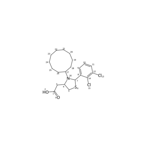 O=C(O)CC1CSC(c2cccc(Cl)c2Cl)N1C1CCCCCCCCC1